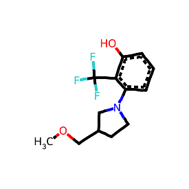 COCC1CCN(c2cccc(O)c2C(F)(F)F)C1